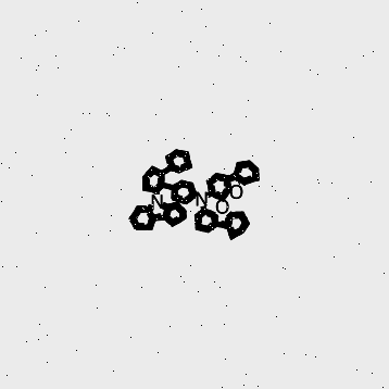 c1ccc(-c2cccc(-n3c4ccccc4c4ccccc43)c2-c2ccc(N(c3ccc4c(c3)oc3ccccc34)c3cccc4c3oc3ccccc34)cc2)cc1